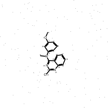 COc1cccc(N(C)c2nc(Cl)nc3ccccc23)c1